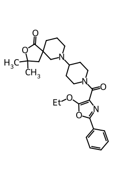 CCOc1oc(-c2ccccc2)nc1C(=O)N1CCC(N2CCCC3(C2)CC(C)(C)OC3=O)CC1